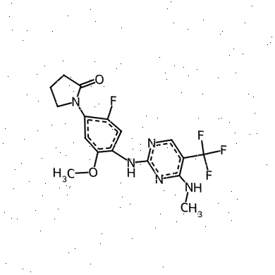 CNc1nc(Nc2cc(F)c(N3CCCC3=O)cc2OC)ncc1C(F)(F)F